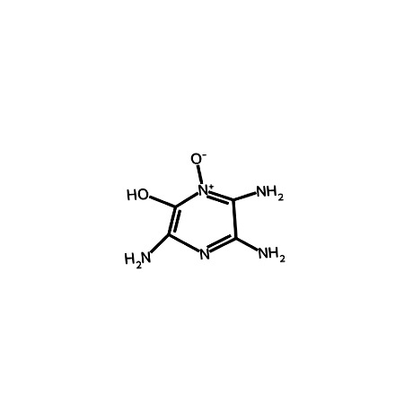 Nc1nc(N)c(O)[n+]([O-])c1N